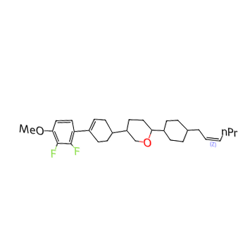 CCC/C=C\CC1CCC(C2CCC(C3CC=C(c4ccc(OC)c(F)c4F)CC3)CO2)CC1